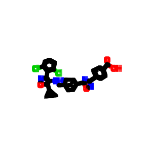 O=C(O)c1ccc(-c2noc(C34CCC(CNc5c(-c6c(Cl)cccc6Cl)noc5C5CC5)(CC3)CC4)n2)cc1